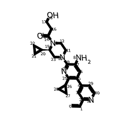 C=Cc1cc(-c2cc(N)c(N3CCN(C(=O)CCO)[C@H](C4CC4)C3)nc2C2CC2)ccn1